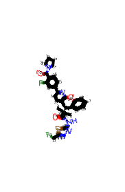 CC(C)(C(=O)Nc1nnc(CF)s1)[C@H]1c2ccccc2Oc2nc(-c3ccc(C(=O)N4CCCC4)c(F)c3)ccc21